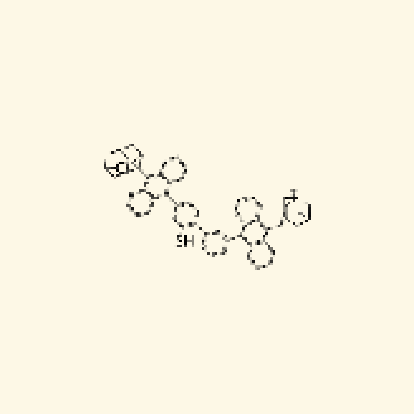 Sc1cc(-c2c3ccccc3c(C3CC4CC5CC(C4)CC3C5)c3ccccc23)ccc1-c1cccc(-c2c3ccccc3c(C3C4CC5C[C@]6(C4)CC3C56)c3ccccc23)c1